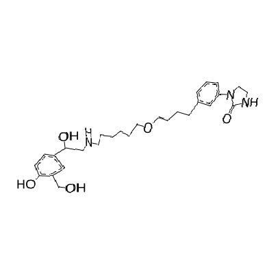 O=C1NCCN1c1cccc(CCCCOCCCCCCNCC(O)c2ccc(O)c(CO)c2)c1